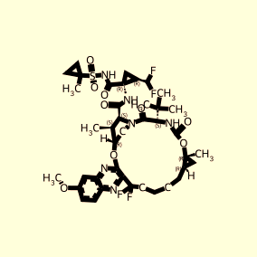 COc1ccc2nc3c(nc2c1)O[C@H]1CN(C(=O)[C@H](C(C)(C)C)NC(=O)O[C@]2(C)C[C@H]2CCCCC3(F)F)[C@H](C(=O)N[C@]2(C(=O)NS(=O)(=O)C3(C)CC3)C[C@H]2C(F)F)[C@@H]1C